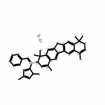 CC1=CC(C)[C]([Zr+2](=[CH]c2ccccc2)[CH]2C=C(C)c3cc4c(cc3C2(C)C)Cc2cc3c(cc2-4)C(C)=CCC3(C)C)=C1.[Cl-].[Cl-]